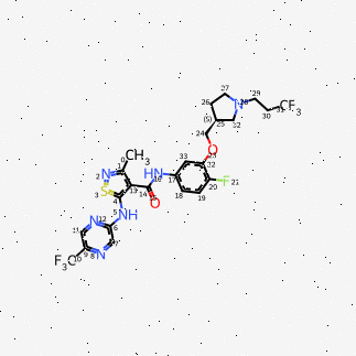 Cc1nsc(Nc2cnc(C(F)(F)F)cn2)c1C(=O)Nc1ccc(F)c(OC[C@H]2CCN(CCC(F)(F)F)C2)c1